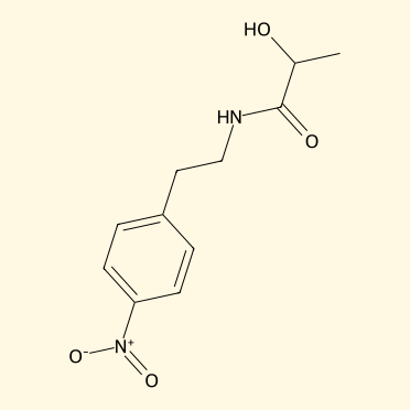 CC(O)C(=O)NCCc1ccc([N+](=O)[O-])cc1